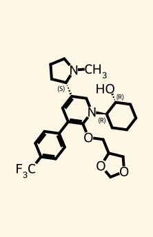 CN1CCC[C@H]1C1=CC(c2ccc(C(F)(F)F)cc2)=C(OCC2COCO2)N([C@@H]2CCCC[C@H]2O)C1